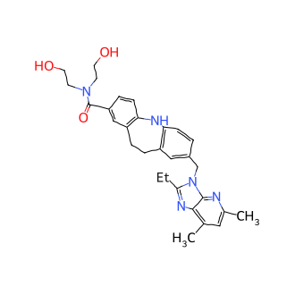 CCc1nc2c(C)cc(C)nc2n1Cc1ccc2c(c1)CCc1cc(C(=O)N(CCO)CCO)ccc1N2